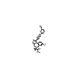 CN(C)C(=O)C1(N2Cc3cc(Cl)ccc3-n3c(nnc3C3CC4(C3)CN(c3nccc(C#N)n3)C4)C2)CC1